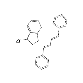 C(C=Cc1ccccc1)=Cc1ccccc1.[Zr][CH]1CCC2CC=CC=C12